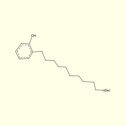 CCCCCCCCCCCCCCCCCCCCc1ccc[c]c1O